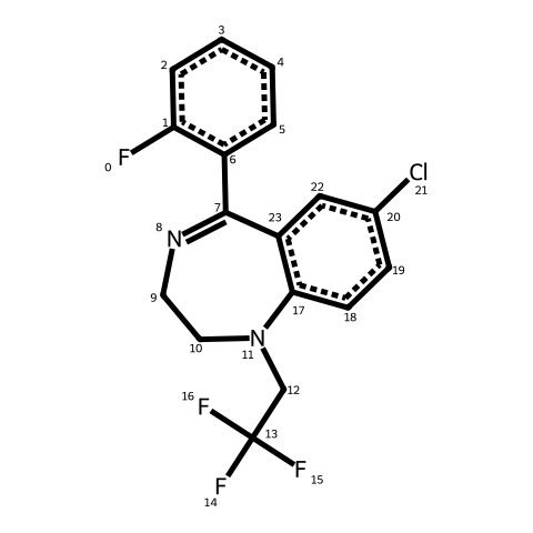 Fc1ccccc1C1=NCCN(CC(F)(F)F)c2ccc(Cl)cc21